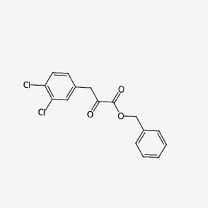 O=C(Cc1ccc(Cl)c(Cl)c1)C(=O)OCc1ccccc1